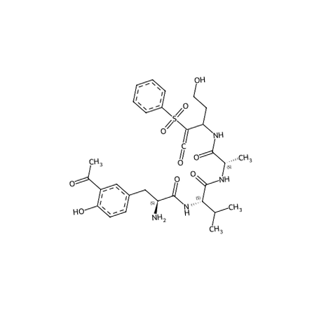 CC(=O)c1cc(C[C@H](N)C(=O)N[C@H](C(=O)N[C@@H](C)C(=O)NC(CCO)C(=C=O)S(=O)(=O)c2ccccc2)C(C)C)ccc1O